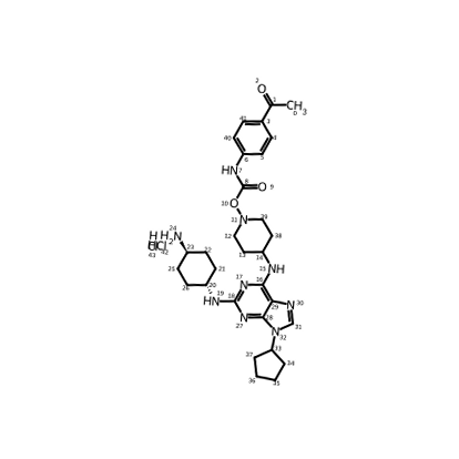 CC(=O)c1ccc(NC(=O)ON2CCC(Nc3nc(N[C@H]4CC[C@H](N)CC4)nc4c3ncn4C3CCCC3)CC2)cc1.Cl.Cl